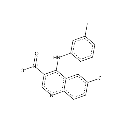 Cc1cccc(Nc2c([N+](=O)[O-])cnc3ccc(Cl)cc23)c1